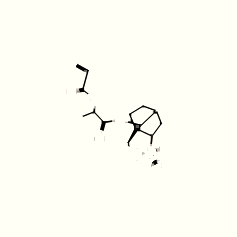 C=CC(=O)OC(C)C(=O)OC1C2CCC3C1OS(=O)(=O)C3C2